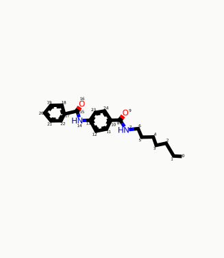 CCCCCCCNC(=O)c1ccc(NC(=O)c2ccccc2)cc1